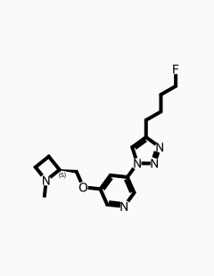 CN1CC[C@H]1COc1cncc(-n2cc(CCCCF)nn2)c1